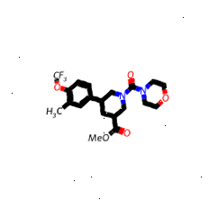 COC(=O)C1CC(c2ccc(OC(F)(F)F)c(C)c2)CN(C(=O)N2CCOCC2)C1